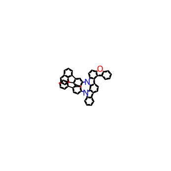 c1ccc(-c2ccc(-n3c4ccccc4c4ccc5c6c7c(ccc6n(-c6ccc8c(c6)-c6cccc9cccc-8c69)c5c43)oc3ccccc37)cc2)cc1